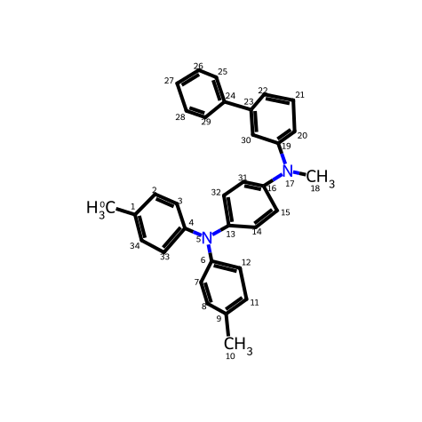 Cc1ccc(N(c2ccc(C)cc2)c2ccc(N(C)c3cccc(-c4ccccc4)c3)cc2)cc1